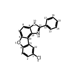 Clc1ccc2oc3ccc4sc(-c5ccccc5)nc4c3c2c1